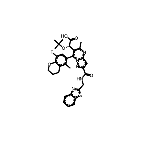 Cc1nc2cc(C(=O)NCc3nc4ccccc4s3)nn2c(-c2cc(F)c3c(c2C)CCCO3)c1[C@H](OC(C)(C)C)C(=O)O